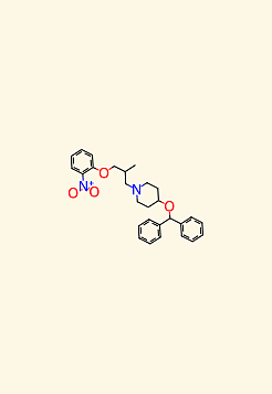 CC(COc1ccccc1[N+](=O)[O-])CN1CCC(OC(c2ccccc2)c2ccccc2)CC1